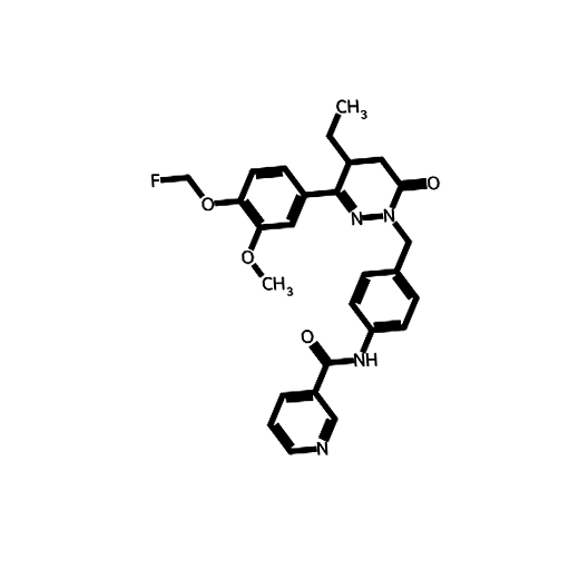 CCC1CC(=O)N(Cc2ccc(NC(=O)c3cccnc3)cc2)N=C1c1ccc(OCF)c(OC)c1